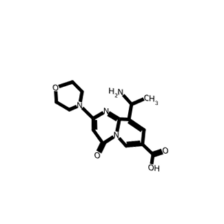 CC(N)c1cc(C(=O)O)cn2c(=O)cc(N3CCOCC3)nc12